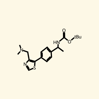 CC(NC(=O)OC(C)(C)C)c1ccc(-c2scnc2CN(C)C)cc1